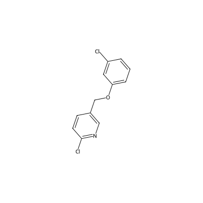 Clc1cccc(OCc2ccc(Cl)nc2)c1